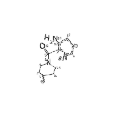 CC1CCN(C(=O)c2ncccc2N)CC1